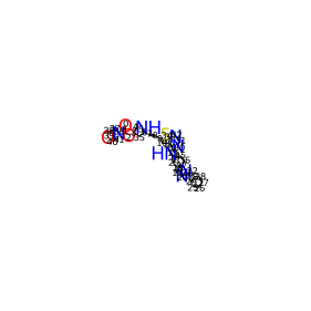 O=C(O[C@H]1CN[C@@H](C#Cc2cc3c(Nc4ccc5c(cnn5Cc5ccccc5)c4)ncnc3s2)C1)N1CCOCC1